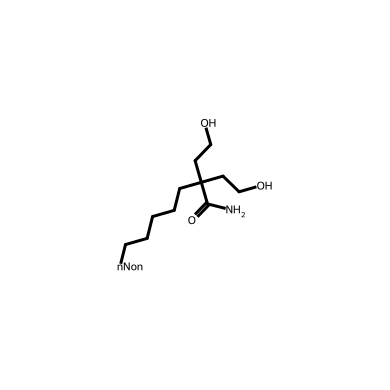 CCCCCCCCCCCCCCC(CCO)(CCO)C(N)=O